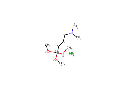 Br.CO[Si](CCCN(C)C)(OC)OC